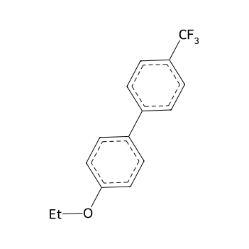 [CH2]COc1ccc(-c2ccc(C(F)(F)F)cc2)cc1